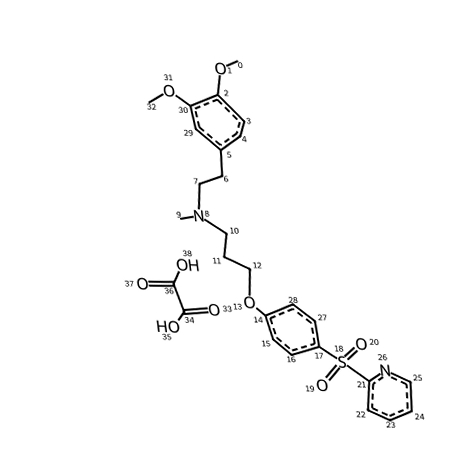 COc1ccc(CCN(C)CCCOc2ccc(S(=O)(=O)c3ccccn3)cc2)cc1OC.O=C(O)C(=O)O